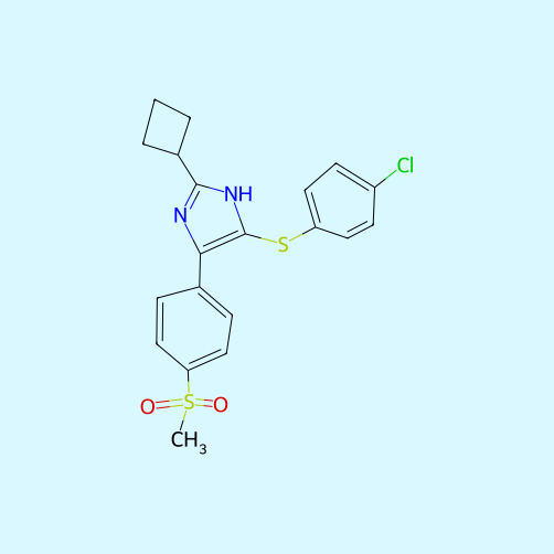 CS(=O)(=O)c1ccc(-c2nc(C3CCC3)[nH]c2Sc2ccc(Cl)cc2)cc1